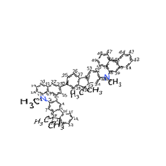 CN(c1ccc2c(c1)C(C)(C)c1ccccc1-2)c1cccc2cc(-c3ccc4c(c3)C(C)(C)c3cc(N(C)c5cc6ccccc6c6ccccc56)ccc3-4)ccc12